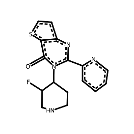 O=c1c2sccc2nc(-c2ccccn2)n1C1CCNCC1F